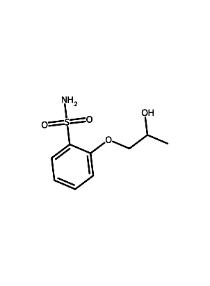 CC(O)COc1ccccc1S(N)(=O)=O